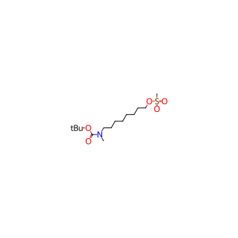 CN(CCCCCCCCOS(C)(=O)=O)C(=O)OC(C)(C)C